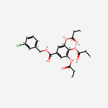 CCC(=O)Oc1cc(C(=O)OCc2cccc(Cl)c2)cc(OC(=O)CC)c1OC(=O)CC